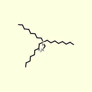 CCCCCCCC[PH](CN)(CCCCCCCC)CCCCCCCC